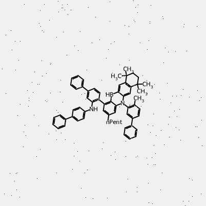 CCCCCc1cc(-c2ccc(-c3ccccc3)cc2Nc2ccc(-c3ccccc3)cc2)c2c(c1)N(c1cc(-c3ccccc3)ccc1C)c1cc3c(cc1B2)C(C)(C)CCC3(C)C